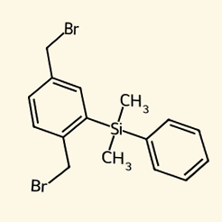 C[Si](C)(c1ccccc1)c1cc(CBr)ccc1CBr